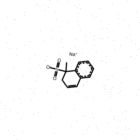 CC1(S(=O)(=O)[O-])CC=Cc2ccccc21.[Na+]